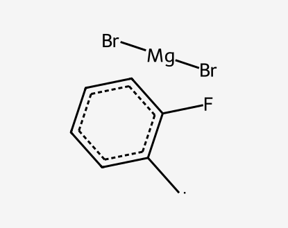 [Br][Mg][Br].[CH2]c1ccccc1F